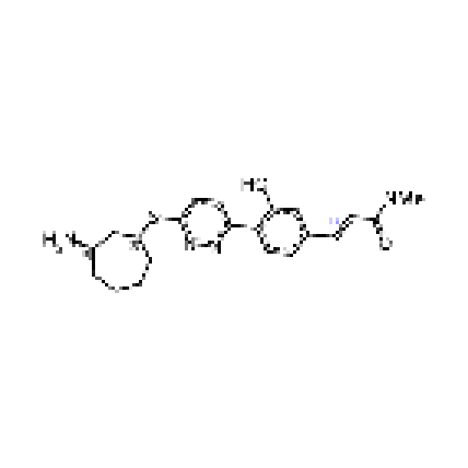 CNC(=O)/C=C/c1ccc(-c2ccc(S[C@H]3CCCC[C@@H](N)C3)nn2)c(O)c1